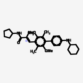 COc1c(C)c(-c2ccc(NC3CCCCC3)cc2)c(OC)c(C)c1/C=C(\C)C(=O)NC1CCCC1